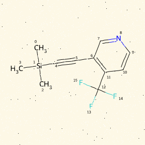 C[Si](C)(C)C#Cc1cnccc1C(F)(F)F